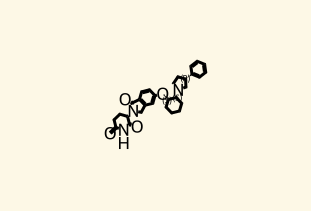 O=C1CCC(N2Cc3cc(O[C@H]4CCCC[C@@H]4N4CC[C@H](c5ccccc5)C4)ccc3C2=O)C(=O)N1